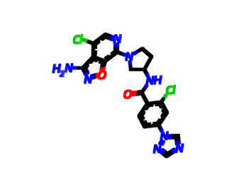 Nc1noc2c(N3CCC(NC(=O)c4ccc(-n5cncn5)cc4Cl)C3)ncc(Cl)c12